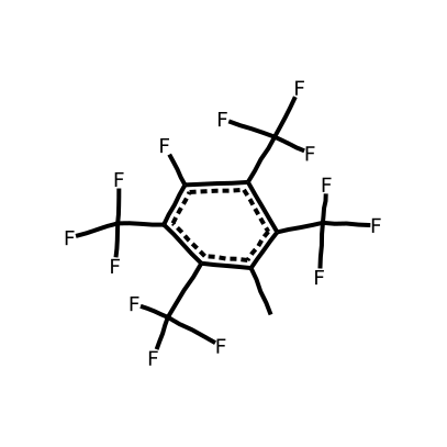 Cc1c(C(F)(F)F)c(C(F)(F)F)c(F)c(C(F)(F)F)c1C(F)(F)F